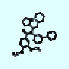 COc1ccc(C(=O)N(c2cccc(-c3ccccc3)c2)C(CC2CCCCC2)C2CCCN2)cc1OC